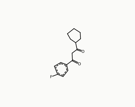 O=C(CC(=O)C1CCCCC1)c1ccc(F)cc1